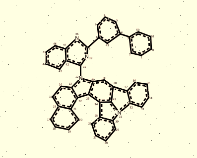 c1ccc(-c2cccc(-c3nc(-n4c5ccc6ccccc6c5c5c6c7ccccc7n7c8ccccc8c(cc54)c67)c4ccccc4n3)c2)cc1